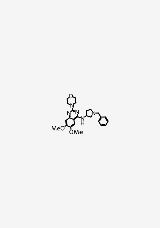 COc1cc2nc(N3CCOCC3)nc(NC3CCN(Cc4ccccc4)C3)c2cc1OC